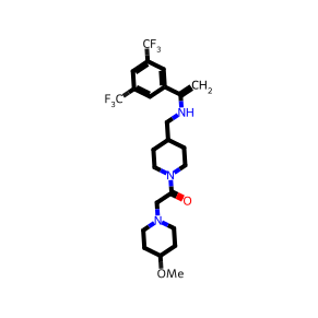 C=C(NCC1CCN(C(=O)CN2CCC(OC)CC2)CC1)c1cc(C(F)(F)F)cc(C(F)(F)F)c1